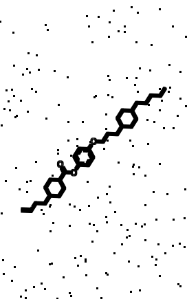 C=CCCC1CCC(C(=O)Oc2ccc(OCCCC3CCC(CCCCC)CC3)cc2)CC1